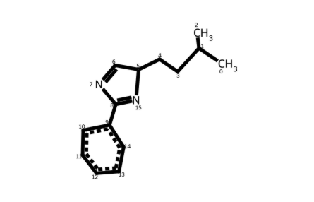 CC(C)CCC1C=NC(c2ccccc2)=N1